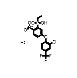 CCP(=O)(O)c1cc(Oc2ccc(C(F)(F)F)cc2Cl)ccc1[N+](=O)[O-].Cl